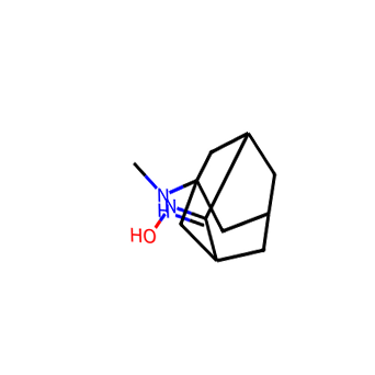 CNC12CC3CC(C1)C(=NO)C(C3)C2